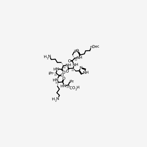 CCCCCCCCCCCCCC(=O)N[C@@H](CC(C)C)C(=O)N[C@@H](Cc1c[nH]cn1)C(=O)N[C@@H](CCCCN)C(=O)N[C@H](C(=O)N[C@@H](CCCCN)C(=O)N[C@H](C(=O)O)C(C)C)C(C)C